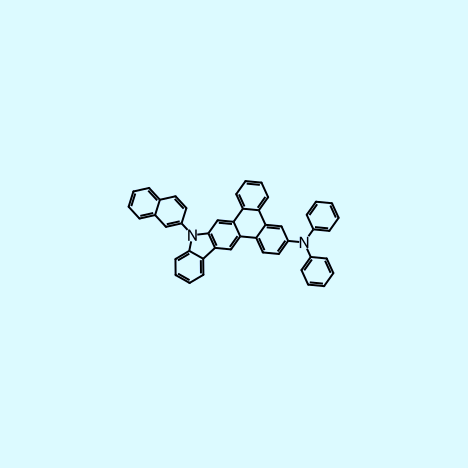 c1ccc(N(c2ccccc2)c2ccc3c(c2)c2ccccc2c2cc4c(cc32)c2ccccc2n4-c2ccc3ccccc3c2)cc1